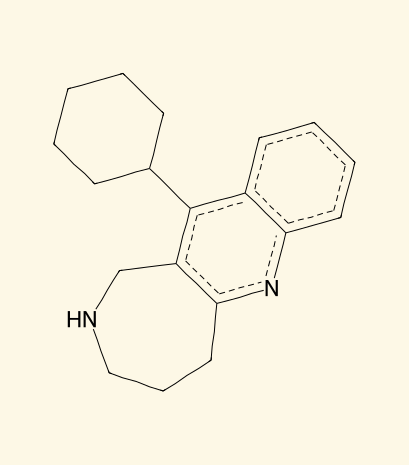 c1ccc2c(C3CCCCC3)c3c(nc2c1)CCCNC3